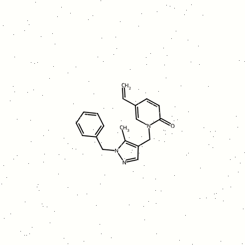 C=Cc1ccc(=O)n(Cc2cnn(Cc3ccccc3)c2C)c1